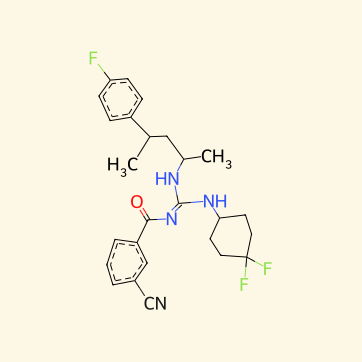 CC(CC(C)c1ccc(F)cc1)N/C(=N\C(=O)c1cccc(C#N)c1)NC1CCC(F)(F)CC1